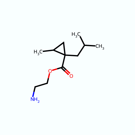 CC(C)CC1(C(=O)OCCN)CC1C